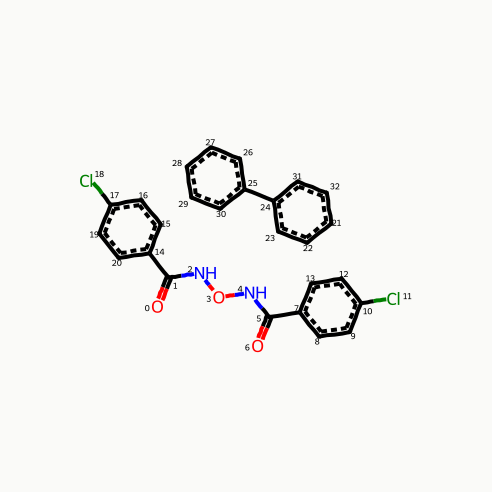 O=C(NONC(=O)c1ccc(Cl)cc1)c1ccc(Cl)cc1.c1ccc(-c2ccccc2)cc1